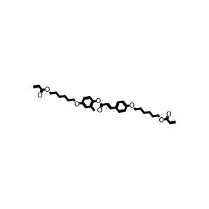 C=CC(=O)OCCCCCCOc1ccc(/C=C/C(=O)Oc2ccc(OCCCCCCOC(=O)C=C)cc2C)cc1